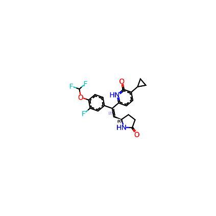 O=C1CC[C@H](/C=C(/c2ccc(OC(F)F)c(F)c2)c2ccc(C3CC3)c(=O)[nH]2)N1